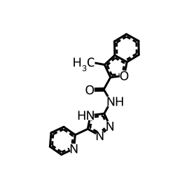 Cc1c(C(=O)Nc2nnc(-c3ccccn3)[nH]2)oc2ccccc12